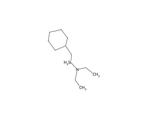 CCN(CC)[SiH2]CC1CCCCC1